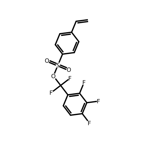 C=Cc1ccc(S(=O)(=O)OC(F)(F)c2ccc(F)c(F)c2F)cc1